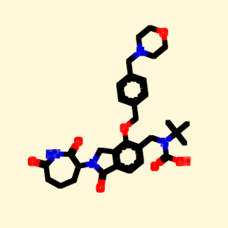 CC(C)(C)N(Cc1ccc2c(c1OCc1ccc(CN3CCOCC3)cc1)CN(C1CCCC(=O)NC1=O)C2=O)C(=O)O